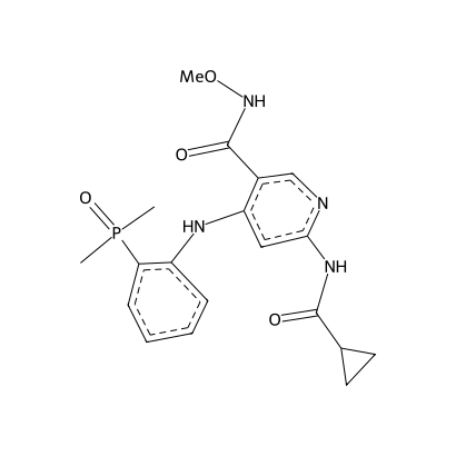 CONC(=O)c1cnc(NC(=O)C2CC2)cc1Nc1ccccc1P(C)(C)=O